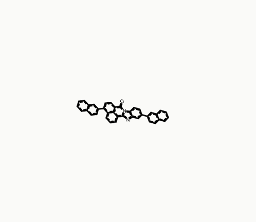 O=c1c2ccc(-c3ccc4ccccc4c3)c3cccc(c32)c2nc3cc(-c4ccc5ccccc5c4)ccc3n12